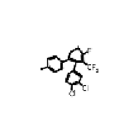 Cc1ccc(C2=C(c3ccc(Cl)c(Cl)c3)C(C(F)(F)F)=C(F)[CH]C2)cc1